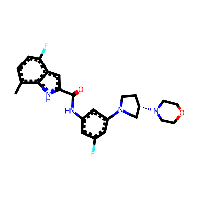 Cc1ccc(F)c2cc(C(=O)Nc3cc(F)cc(N4CC[C@H](N5CCOCC5)C4)c3)[nH]c12